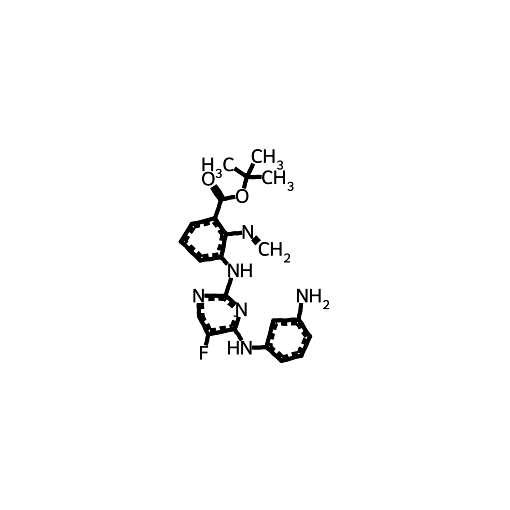 C=Nc1c(Nc2ncc(F)c(Nc3cccc(N)c3)n2)cccc1C(=O)OC(C)(C)C